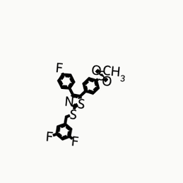 CS(=O)(=O)c1ccc(-c2sc(SCc3cc(F)cc(F)c3)nc2-c2ccc(F)cc2)cc1